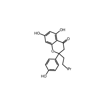 CC(C)CCC1(c2ccc(O)cc2)CC(=O)c2c(O)cc(O)cc2O1